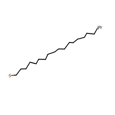 CC(C)CCCCCCCCCCCCCCCCC[S]